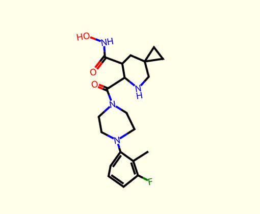 Cc1c(F)cccc1N1CCN(C(=O)C2NCC3(CC3)CC2C(=O)NO)CC1